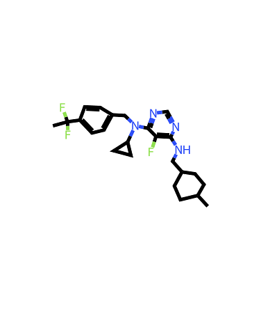 CC1CCC(CNc2ncnc(N(Cc3ccc(C(C)(F)F)cc3)C3CC3)c2F)CC1